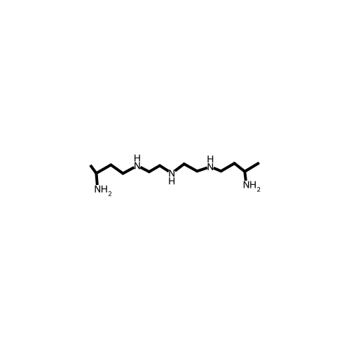 CC(N)CCNCCNCCNCCC(C)N